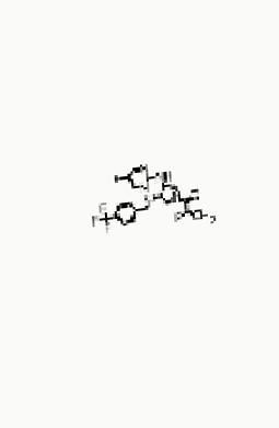 C=C(F)C(=O)N1CC(Nc2ncc(F)cn2)C(OCc2ccc(C(F)(F)F)cc2)C1